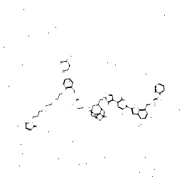 Cc1c(-c2ccc(-c3cc4cccc(C(=O)Nc5nc6ccccc6s5)c4[nH]3)nc2C(=O)O)cnn1CC12CC3(OCCN(C)C(=O)OCc4ccc(O[C@H]5C[C@@H](O)[C@H](O)[C@@H](C(=O)O)O5)cc4OCCOCCNC(=O)CCN4C(=O)C=CC4=O)CC4(C)CC(C)(C1)C4(C2)C3